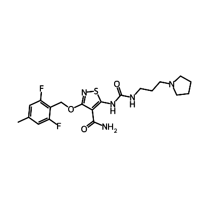 Cc1cc(F)c(COc2nsc(NC(=O)NCCCN3CCCC3)c2C(N)=O)c(F)c1